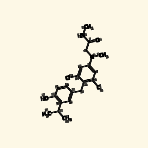 CNC(=O)CN(C)c1cc(Cl)c(Cc2ccc(O)c(C(C)C)c2)c(Cl)c1